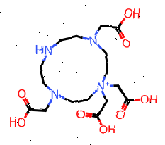 O=C(O)CN1CCNCCN(CC(=O)O)CC[N+](CC(=O)O)(CC(=O)O)CC1